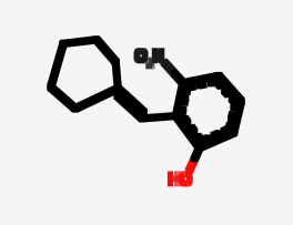 O=[N+]([O-])c1cccc(O)c1C=C1CCCCC1